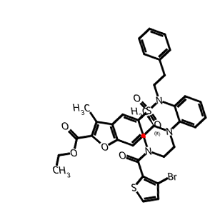 CCOC(=O)c1oc2ccc(S(=O)(=O)N(CCc3ccccc3)c3ccccc3N3CCN(C(=O)c4sccc4Br)C[C@H]3C)cc2c1C